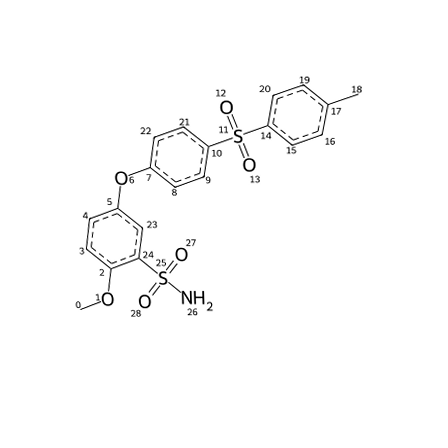 COc1ccc(Oc2ccc(S(=O)(=O)c3ccc(C)cc3)cc2)cc1S(N)(=O)=O